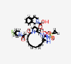 O=C1N[C@]2(C(=O)NS(=O)(=O)C3CC3)CC2/C=C\CCCCC[C@H](CC(=O)N2CCC(F)(F)C2)C(=O)N2C[C@H](C3c4ccccc4CCN3C(=O)O)C[C@@H]12